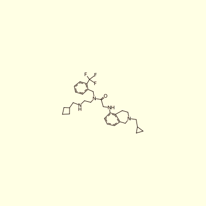 O=C(CNc1cccc2c1CCN(CC1CC1)C2)N(CCNCC1CCC1)Cc1ccccc1C(F)(F)F